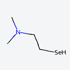 CN(C)CC[SeH]